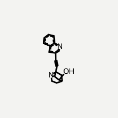 OC1C2CCN(CC2)C1C#Cc1cnc2ccccc2c1